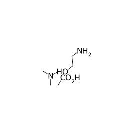 CC(=O)O.CN(C)C.NCCO